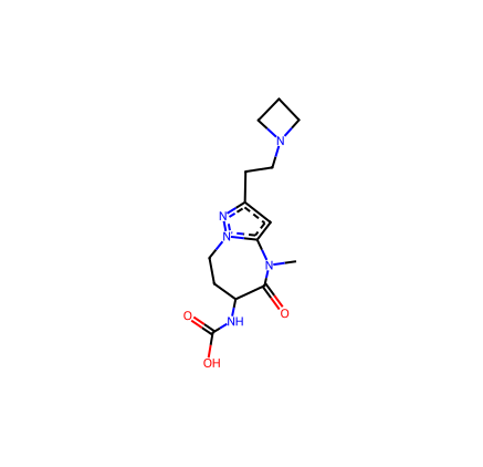 CN1C(=O)C(NC(=O)O)CCn2nc(CCN3CCC3)cc21